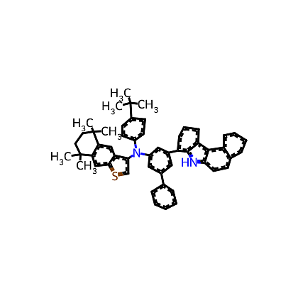 CC(C)(C)c1ccc(N(c2cc(-c3ccccc3)cc(-c3cccc4c3[nH]c3ccc5ccccc5c34)c2)c2csc3cc4c(cc23)C(C)(C)CCC4(C)C)cc1